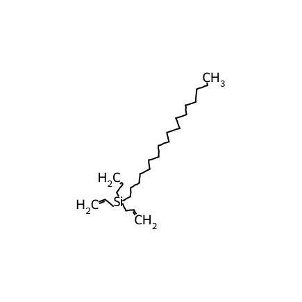 C=CC[Si](CC=C)(CC=C)CCCCCCCCCCCCCCCCCC